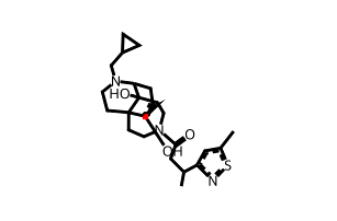 Cc1cc(C(C)CC(=O)N2CCC34CCN(CC5CC5)C(Cc5ccc(O)cc53)C4(O)CC2)ns1